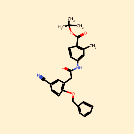 Cc1cc(NC(=O)Cc2cc(C#N)ccc2OCc2ccccc2)ccc1C(=O)OC(C)(C)C